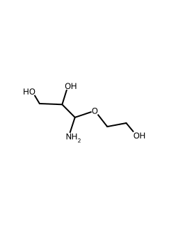 NC(OCCO)C(O)CO